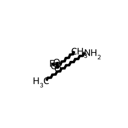 CCCCCCCCCCCCCCCCCCN.CCCCCCCCS(=O)(=O)OF